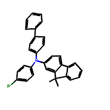 CC1(C)c2ccccc2-c2ccc(N(c3ccc(Br)cc3)c3ccc(-c4ccccc4)cc3)cc21